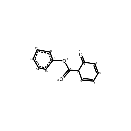 O=C1C=CC=CC1C(=O)Oc1ccccc1